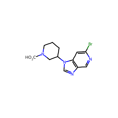 O=C(O)N1CCCC(n2cnc3cnc(Br)cc32)C1